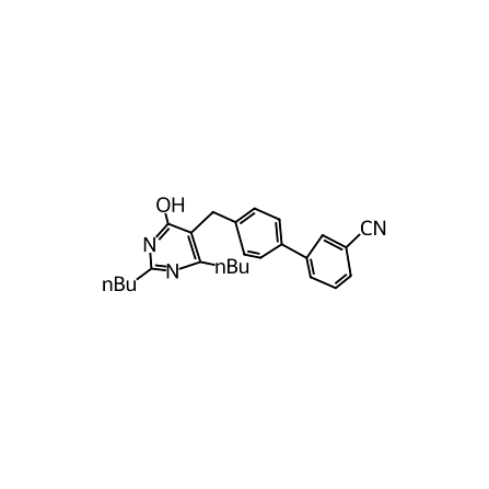 CCCCc1nc(O)c(Cc2ccc(-c3cccc(C#N)c3)cc2)c(CCCC)n1